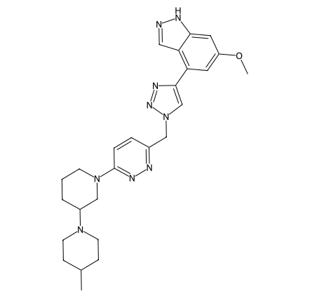 COc1cc(-c2cn(Cc3ccc(N4CCCC(N5CCC(C)CC5)C4)nn3)nn2)c2cn[nH]c2c1